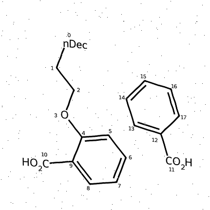 CCCCCCCCCCCCOc1ccccc1C(=O)O.O=C(O)c1ccccc1